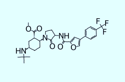 COC(=O)[C@@H]1C[C@H](NC(C)(C)C)CC[C@@H]1N1CCC(NC(=O)c2cc(-c3ccc(C(F)(F)F)cc3)co2)C1=O